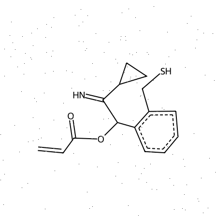 C=CC(=O)OC(C(=N)C1CC1)c1ccccc1CS